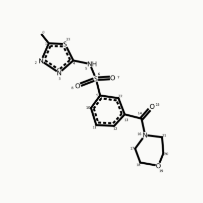 Cc1nnc(NS(=O)(=O)c2cccc(C(=O)N3CCOCC3)c2)s1